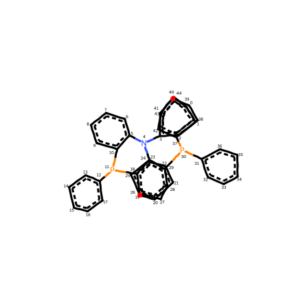 c1ccc(N(c2ccccc2P(c2ccccc2)c2ccccc2)c2ccccc2P(c2ccccc2)c2ccccc2)cc1